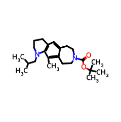 Cc1c2c(cc3c1N(CC(C)C)CCC3)CCN(C(=O)OC(C)(C)C)CC2